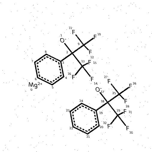 [Mg+2].[O-]C(c1ccccc1)(C(F)(F)F)C(F)(F)F.[O-]C(c1ccccc1)(C(F)(F)F)C(F)(F)F